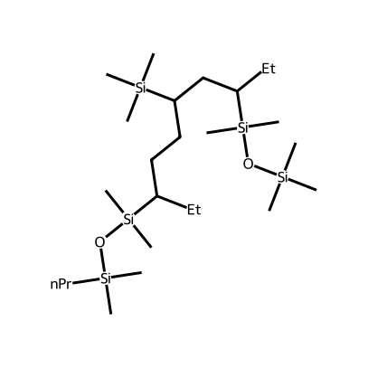 CCC[Si](C)(C)O[Si](C)(C)C(CC)CCC(CC(CC)[Si](C)(C)O[Si](C)(C)C)[Si](C)(C)C